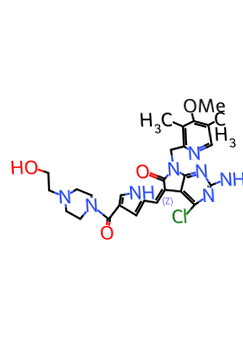 COc1c(C)cnc(CN2C(=O)/C(=C\c3cc(C(=O)N4CCN(CCO)CC4)c[nH]3)c3c(Cl)nc(N)nc32)c1C